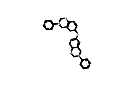 C1=CC(SC2=CCC3OCN(c4ccccc4)CC3=C2)CC2=C1OCN(c1ccccc1)C2